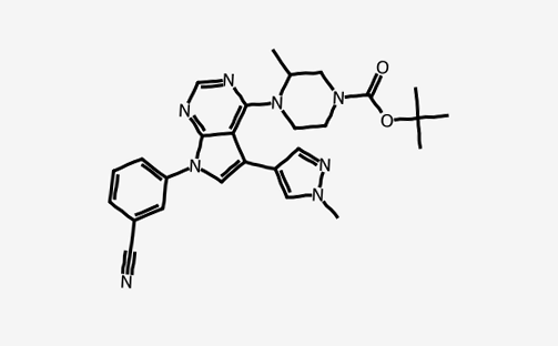 CC1CN(C(=O)OC(C)(C)C)CCN1c1ncnc2c1c(-c1cnn(C)c1)cn2-c1cccc(C#N)c1